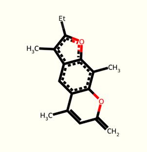 C=C1C=C(C)c2cc3c(C)c(CC)oc3c(C)c2O1